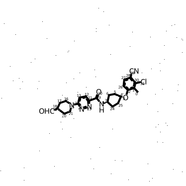 Cc1c(O[C@H]2CC[C@H](NC(=O)c3ccc(N4CCC(C=O)CC4)nn3)CC2)ccc(C#N)c1Cl